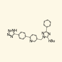 CCCCc1nc(-c2ccccc2)nn1Cc1ccc(-c2ccc(-c3nnn[nH]3)cc2)nc1